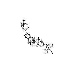 CCC(=O)Nc1ccc(C(=O)Nc2cc(-c3ccc(F)nc3)ccc2N)nc1